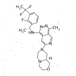 Cc1nnc(N[C@H](C)c2cccc(C(C)(F)F)c2F)c2cc(N3CCN4CCOC[C@@H]4C3)ncc12